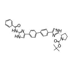 CC(C)(C)OC(=O)N1CCC[C@H]1c1nc(-c2ccc(-c3ccc(-c4c[nH]c(NC(=O)c5ccccc5)n4)cc3)cc2)c[nH]1